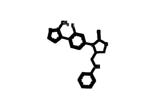 Cn1nccc1-c1ccc(N2C(=O)OCC2CNc2ccccc2)cc1F